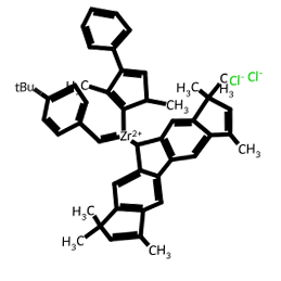 CC1=CC(C)(C)c2cc3c(cc21)-c1cc2c(cc1[CH]3/[Zr+2](=[CH]/c1ccc(C(C)(C)C)cc1)[C]1=C(C)C(c3ccccc3)=CC1C)C(C)(C)C=C2C.[Cl-].[Cl-]